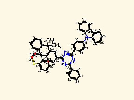 CC1(C)c2ccccc2C2(c3ccccc3Sc3ccccc32)c2ccc(-c3nc(-c4ccccc4)nc(-c4ccc(-n5c6ccccc6c6ccccc65)cc4)n3)cc21